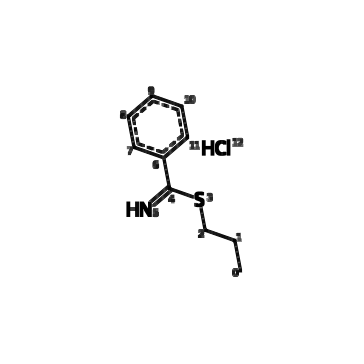 CCCSC(=N)c1ccccc1.Cl